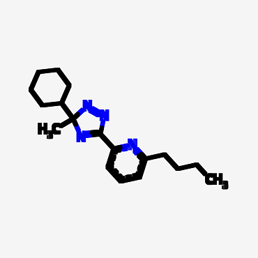 CCCCc1cccc(C2=NC(C)(C3CCCCC3)N=N2)n1